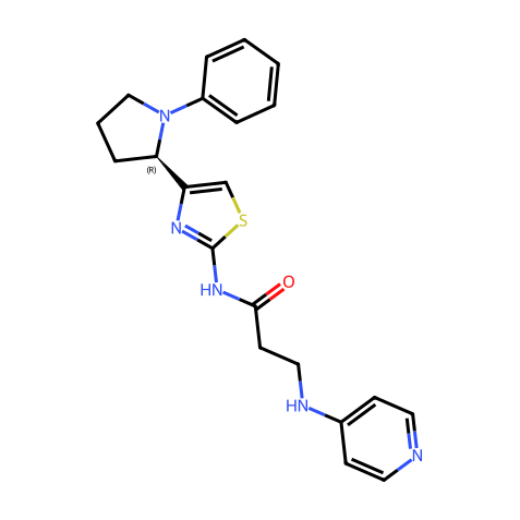 O=C(CCNc1ccncc1)Nc1nc([C@H]2CCCN2c2ccccc2)cs1